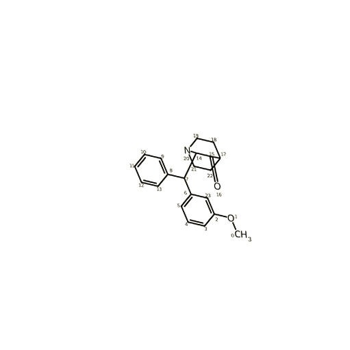 COc1cccc(C(c2ccccc2)C2C(=O)C3CCN2CC3)c1